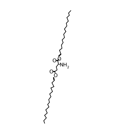 CCCCCCCCCCCCCCCCC=COC(=O)CC[C@H](N)C(=O)OC=CCCCCCCCCCCCCCCCC